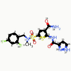 CN(Cc1ccc(F)cc1F)S(=O)(=O)c1cc(C(N)=O)c(NC(=O)c2cc[nH]n2)s1